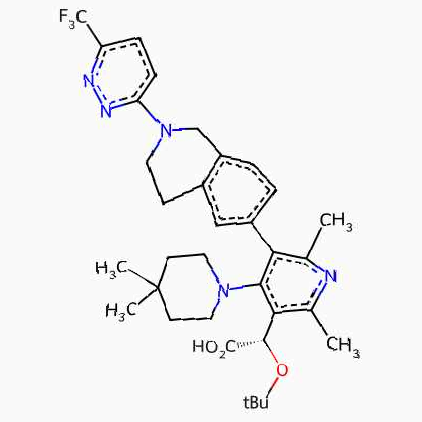 Cc1nc(C)c([C@H](OC(C)(C)C)C(=O)O)c(N2CCC(C)(C)CC2)c1-c1ccc2c(c1)CCN(c1ccc(C(F)(F)F)nn1)C2